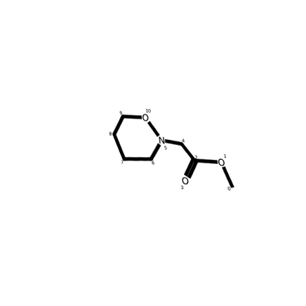 COC(=O)CN1CCCCO1